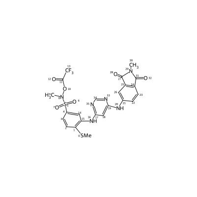 CSc1ccc(S(=O)(=O)N(C)OC(=O)C(F)(F)F)cc1Nc1cc(Nc2ccc3c(c2)C(=O)N(C)C3=O)ncn1